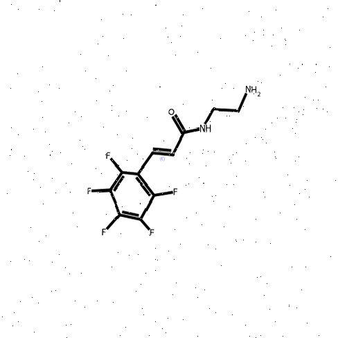 NCCNC(=O)/C=C/c1c(F)c(F)c(F)c(F)c1F